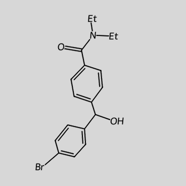 CCN(CC)C(=O)c1ccc(C(O)c2ccc(Br)cc2)cc1